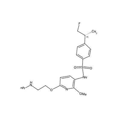 CCCNCCOc1ccc(NS(=O)(=O)c2ccc([C@@H](C)CF)cc2)c(OC)n1